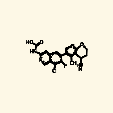 Cc1c(-c2cc3cc(NC(=O)O)ncc3c(Cl)c2F)cnc2c1C(C#N)CCO2